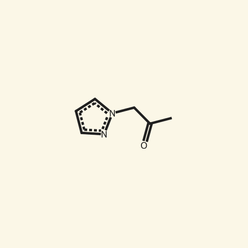 CC(=O)Cn1cccn1